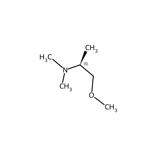 COC[C@H](C)N(C)C